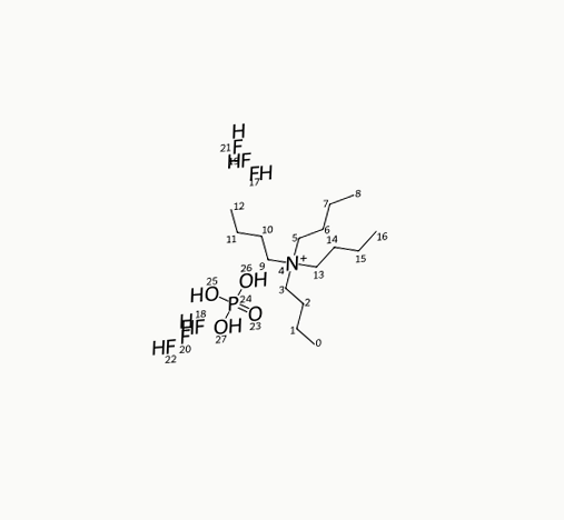 CCCC[N+](CCCC)(CCCC)CCCC.F.F.F.F.F.F.O=P(O)(O)O